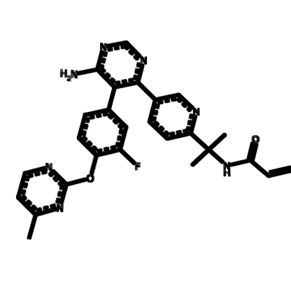 C=CC(=O)NC(C)(C)c1ccc(-c2ncnc(N)c2-c2ccc(Oc3nccc(C)n3)c(F)c2)cn1